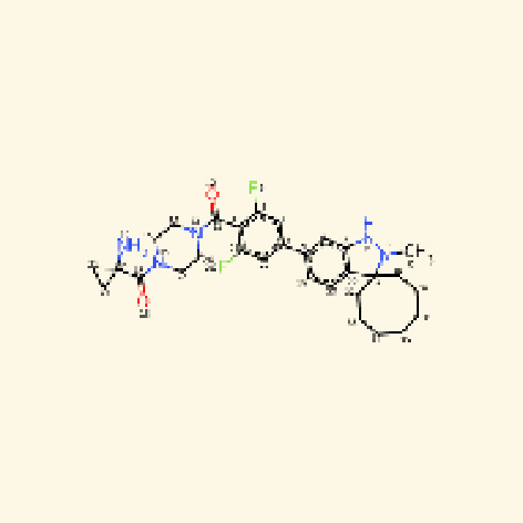 CN1Nc2cc(-c3cc(F)c(C(=O)N4CCN(C(=O)C5(N)CC5)CC4)c(F)c3)ccc2C12CCCCCCC2